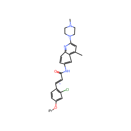 Cc1cc(N2CCN(C)CC2)nc2ccc(NC(=O)/C=C/c3ccc(OC(C)C)cc3Cl)cc12